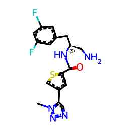 Cn1nncc1-c1csc(C(=O)N[C@H](CN)Cc2cc(F)cc(F)c2)c1